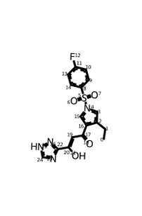 CCc1cn(S(=O)(=O)c2ccc(F)cc2)cc1C(=O)C=C(O)c1nc[nH]n1